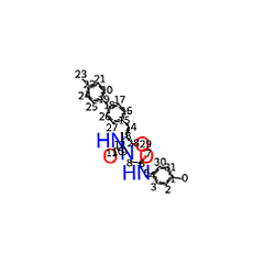 Cc1ccc(NC(=O)CN2C(=O)N/C(=C\c3ccc(-c4ccc(C)cc4)cc3)C2=O)cc1